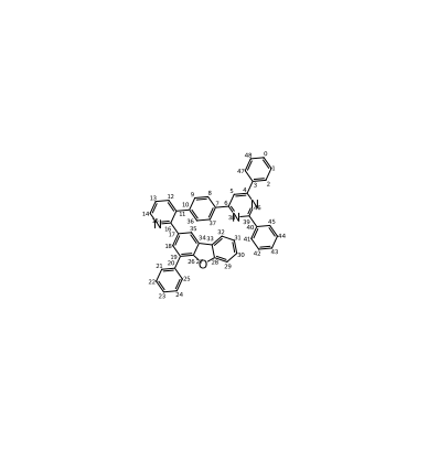 c1ccc(-c2cc(-c3ccc(-c4cccnc4-c4cc(-c5ccccc5)c5oc6ccccc6c5c4)cc3)nc(-c3ccccc3)n2)cc1